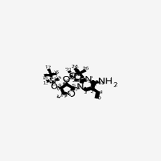 C=Cc1cn([C@@H]2O[C@H](C)[C@@H](O[Si](C)(C)C(C)(C)C)[C@H]2O[Si](C)(C)C(C)(C)C)c(=O)nc1N